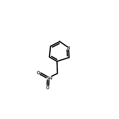 O=[SH](=O)Cc1cc[c]nc1